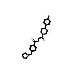 O=C(CCC(=O)N1CCC(c2ccc(Cl)cc2)CC1)c1ccc(CN2CCCC2)cc1